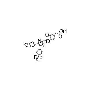 COc1ccc(-c2nc(COc3ccc(CC(=O)O)cc3OC)sc2-c2ccc(C(F)(F)F)cc2)cc1